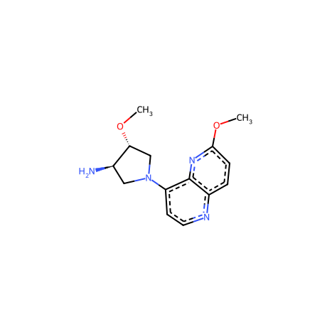 COc1ccc2nccc(N3C[C@@H](N)[C@H](OC)C3)c2n1